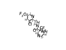 O=C(NCCc1ncc(C(F)(F)F)cc1Cl)C1(C(F)(F)F)C=NC=CN1